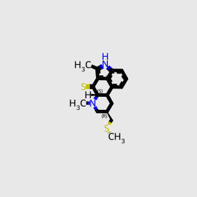 CSC[C@@H]1CC2c3cccc4[nH]c(C)c(c34)C(=S)[C@H]2N(C)C1